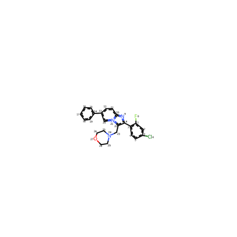 Fc1cc(Cl)ccc1-c1nc2ccc(-c3ccccc3)cn2c1CN1CCOCC1